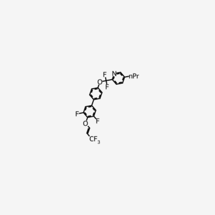 CCCc1ccc(C(F)(F)Oc2ccc(-c3cc(F)c(O/C=C/C(F)(F)F)c(F)c3)cc2)nc1